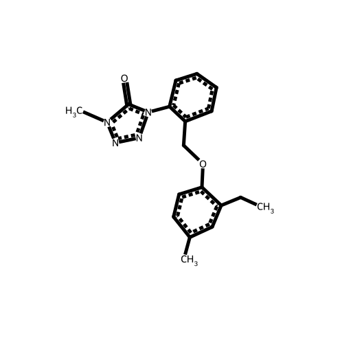 CCc1cc(C)ccc1OCc1ccccc1-n1nnn(C)c1=O